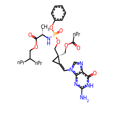 CCCC(=O)OC[C@@]1(CO[P@@](=O)(N[C@@H](C)C(=O)OCC(CCC)CCC)Oc2ccccc2)C/C1=C/n1cnc2c(=O)[nH]c(N)nc21